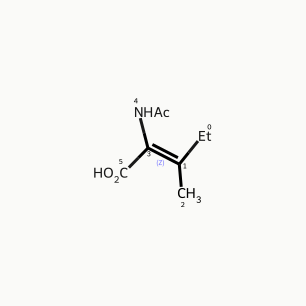 CC/C(C)=C(\NC(C)=O)C(=O)O